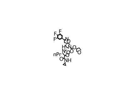 CCC[C@H](NC(=O)[C@@H]1C[C@]2(CC(c3cc(F)c(F)c(F)c3)=NO2)CN1C(=O)O[C@H]1CCOC1)C(=O)C(=O)NC1CC1